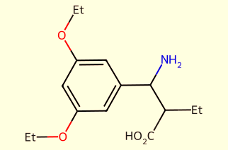 CCOc1cc(OCC)cc(C(N)C(CC)C(=O)O)c1